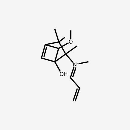 C=C/C=[N+](\C)C1(C)C(C)(C)C2=CC1(O)C2OC